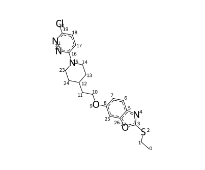 CCSc1nc2ccc(OCCC3CCN(c4ccc(Cl)nn4)CC3)cc2o1